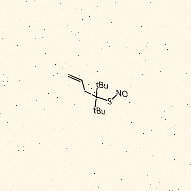 C=CCC(SN=O)(C(C)(C)C)C(C)(C)C